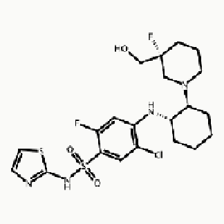 O=S(=O)(Nc1nccs1)c1cc(Cl)c(N[C@H]2CCCC[C@@H]2N2CCC[C@](F)(CO)C2)cc1F